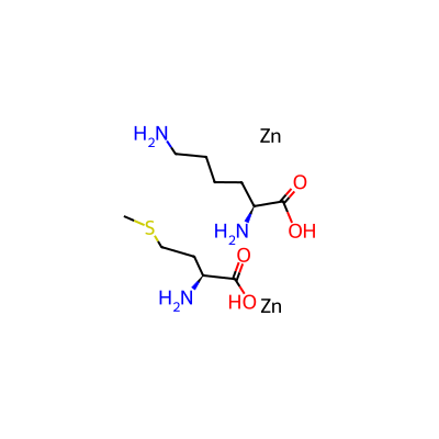 CSCC[C@H](N)C(=O)O.NCCCC[C@H](N)C(=O)O.[Zn].[Zn]